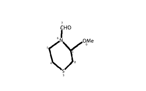 COC1CSCCN1C=O